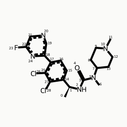 C[C@H](NC(=O)N(C)C1CCN(C)CC1)c1ccc(-c2cncc(F)n2)c(Cl)c1Cl